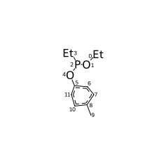 CCOP(CC)Oc1ccc(C)cc1